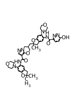 CC1(C)Cc2cc(NC(=O)c3cnn4c3OCC(CC3(C)Cc5cc(NC(=O)c6ccc(O)nn6)c(N6CCOCC6)cc5O3)C4)c(N3CCOCC3)cc2O1